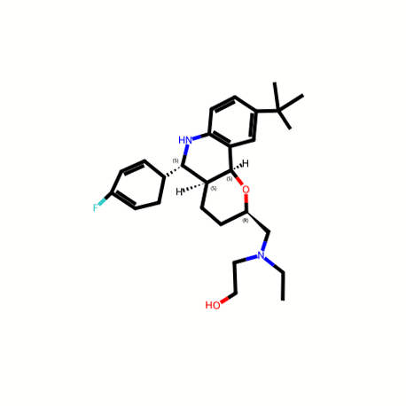 CCN(CCO)C[C@H]1CC[C@@H]2[C@H](O1)c1cc(C(C)(C)C)ccc1N[C@H]2C1C=CC(F)=CC1